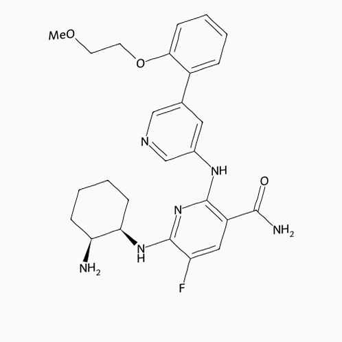 COCCOc1ccccc1-c1cncc(Nc2nc(N[C@@H]3CCCC[C@@H]3N)c(F)cc2C(N)=O)c1